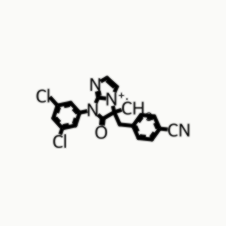 CC1(Cc2ccc(C#N)cc2)C(=O)N(c2cc(Cl)cc(Cl)c2)C2=NC=C[N+]21